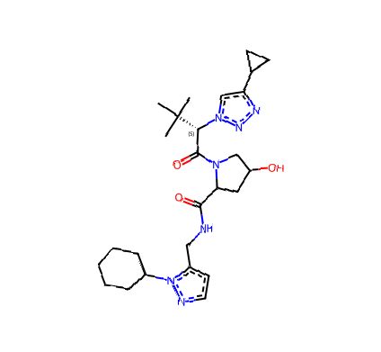 CC(C)(C)[C@@H](C(=O)N1CC(O)CC1C(=O)NCc1ccnn1C1CCCCC1)n1cc(C2CC2)nn1